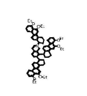 CCOc1cccc2c1c(OCC)cc1c3c(ccc12)C(c1ccc2c(c1C1CCCc4c1ccc1c4cc(OCC)c4c(OCC)cccc41)CN(C1CCCc4c1ccc1c4cc(OCC)c4c(OCC)cccc41)C=C2)CCC3